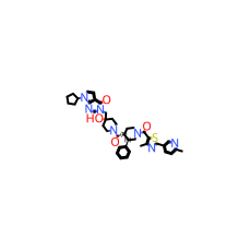 Cc1ccc(-c2nc(C)c(C(=O)N3CC[C@@H](C(=O)N4CCC(O)(Cn5cnc6c(ccn6C6CCCC6)c5=O)CC4)[C@H](c4ccccc4)C3)s2)cn1